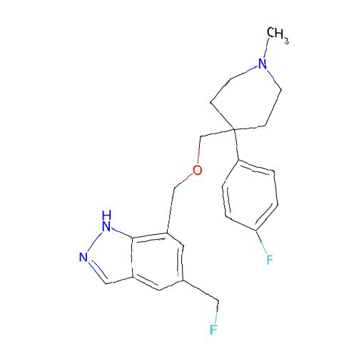 CN1CCC(COCc2cc(CF)cc3cn[nH]c23)(c2ccc(F)cc2)CC1